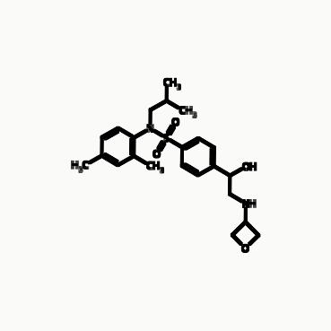 Cc1ccc(N(CC(C)C)S(=O)(=O)c2ccc(C(O)CNC3COC3)cc2)c(C)c1